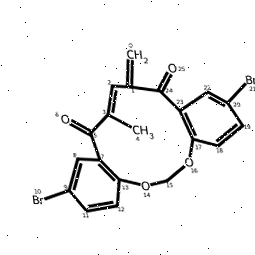 C=C1/C=C(\C)C(=O)c2cc(Br)ccc2OCOc2ccc(Br)cc2C1=O